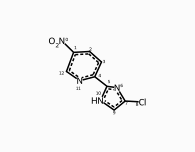 O=[N+]([O-])c1ccc(-c2nc(Cl)c[nH]2)nc1